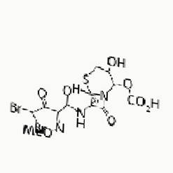 CON=C(C(=O)NC1C(=O)N2C(OC(=O)O)C(O)CS[C@@H]12)C(=O)C(Br)Br